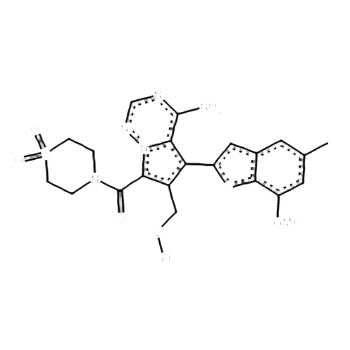 CCOCc1c(-c2cc3cc(C)cc(OC)c3s2)c2c(N)ncnn2c1C(=O)N1CCS(=O)(=O)CC1